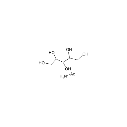 CC(N)=O.OCC(O)C(O)C(O)CO